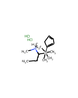 CC[CH](N(C)C)[Ti]([CH3])([CH3])([CH3])([CH3])[C]1=CC=CC1.Cl.Cl